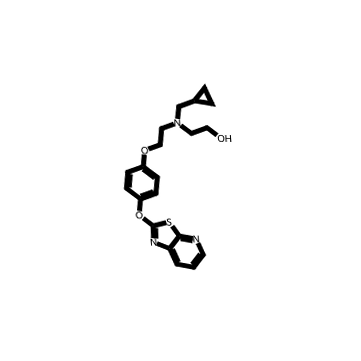 OCCN(CCOc1ccc(Oc2nc3cccnc3s2)cc1)CC1CC1